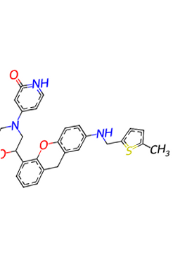 Cc1ccc(CNc2ccc3c(c2)Cc2cccc(C4CN(c5cc[nH]c(=O)c5)CCO4)c2O3)s1